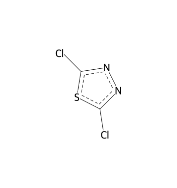 Clc1nnc(Cl)s1